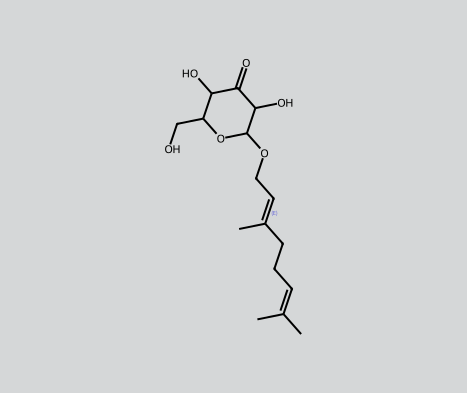 CC(C)=CCC/C(C)=C/COC1OC(CO)C(O)C(=O)C1O